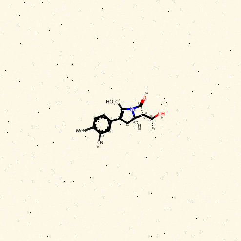 CNc1ccc(C2=C(C(=O)O)N3C(=O)[C@H]([C@@H](C)O)[C@H]3C2)cc1C#N